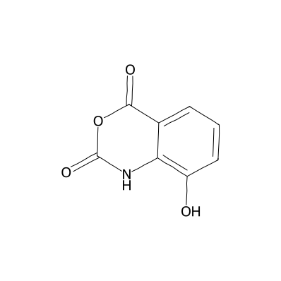 O=c1[nH]c2c(O)cccc2c(=O)o1